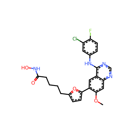 COc1cc2ncnc(Nc3ccc(F)c(Cl)c3)c2cc1-c1ccc(CCCCC(=O)NO)o1